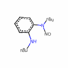 CCCCNc1ccccc1N(CCCC)N=O